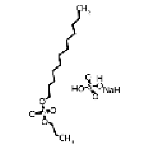 CCCCCCCCCCCCOS(=O)(=O)OCCC.O=S(=O)(O)O.[NaH]